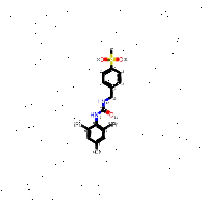 CC(C)c1cc(C#N)cc(C(C)C)c1NC(=O)NCc1ccc(S(C)(=O)=O)cc1